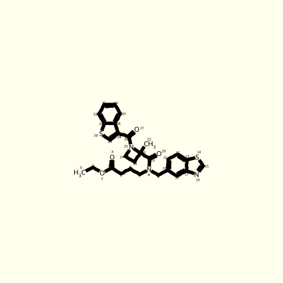 CCOC(=O)CCCN(Cc1ccc2scnc2c1)C(=O)C1(C)CCN1C(=O)c1csc2ccccc12